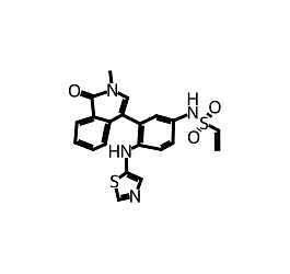 C=CS(=O)(=O)Nc1ccc(Nc2cncs2)c(-c2cn(C)c(=O)c3ccccc23)c1